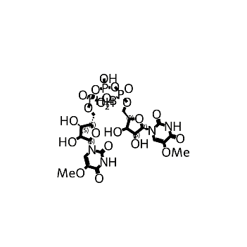 BP(=O)(OC[C@H]1O[C@@H](n2cc(OC)c(=O)[nH]c2=O)[C@@H](O)C1O)OP(=O)(O)OP(=O)(O)OC[C@@H]1O[C@H](n2cc(OC)c(=O)[nH]c2=O)C(O)[C@@H]1O